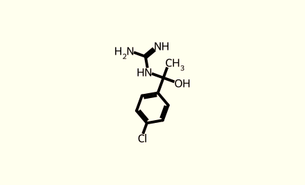 CC(O)(NC(=N)N)c1ccc(Cl)cc1